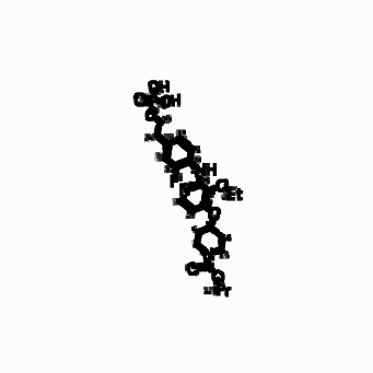 CCOc1c(OC2CCN(C(=O)OC(C)C)CC2)ccnc1Nc1ccc(CCOP(=O)(O)O)cc1F